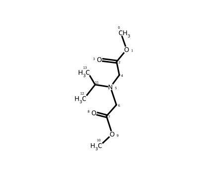 COC(=O)CN(CC(=O)OC)C(C)C